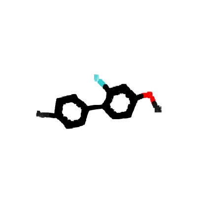 CCOc1ccc(-c2ccc(C(C)=O)cc2)c(F)c1